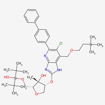 CC(C)(C)[Si](O)(OC[C@H]1OC[C@@H](Oc2nc3nc(-c4ccc(-c5ccccc5)cc4)c(Cl)c(COCC[Si](C)(C)C)c3[nH]2)[C@@]1(C)O)C(C)(C)C